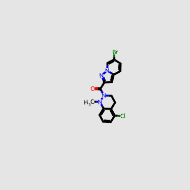 CN1c2cccc(Cl)c2CCN1C(=O)c1cc2ccc(Br)cn2n1